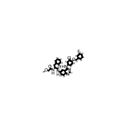 COCC(=O)NC(Cc1ccccc1)C(=O)Nc1ccc2ncnc(Nc3ccc(OCc4cccc(F)c4)c(Cl)c3)c2c1